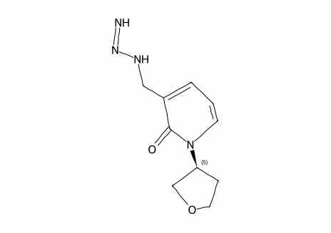 N=NNCc1cccn([C@H]2CCOC2)c1=O